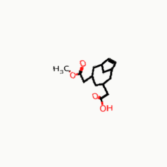 COC(=O)CC1CC2C=CC(C2)CC(CC(=O)O)C1